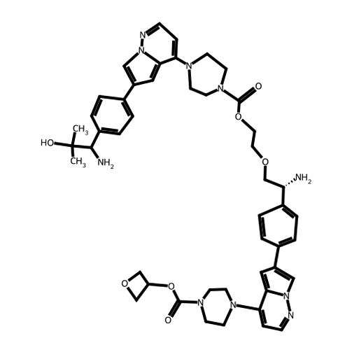 CC(C)(O)C(N)c1ccc(-c2cc3c(N4CCN(C(=O)OCCOC[C@H](N)c5ccc(-c6cc7c(N8CCN(C(=O)OC9COC9)CC8)ccnn7c6)cc5)CC4)ccnn3c2)cc1